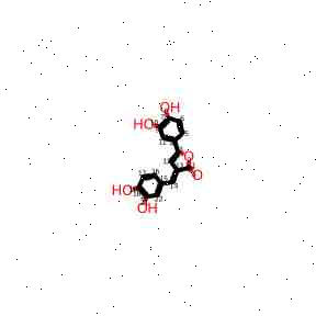 O=C1OC(c2ccc(O)c(O)c2)=C/C1=C\c1ccc(O)c(O)c1